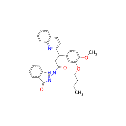 CCCCOc1cc(C(CC(N)=O)c2ccc3ccccc3n2)ccc1OC.O=C1N=Cc2ccccc21